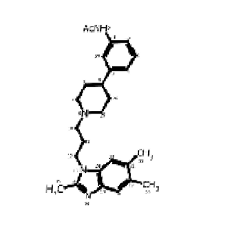 CC(=O)Nc1cccc(C2CCN(CCCn3c(C)nc4cc(C)c(C)cc43)CC2)c1